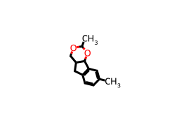 Cc1ccc2c(c1)C1OC(C)OCC1C2